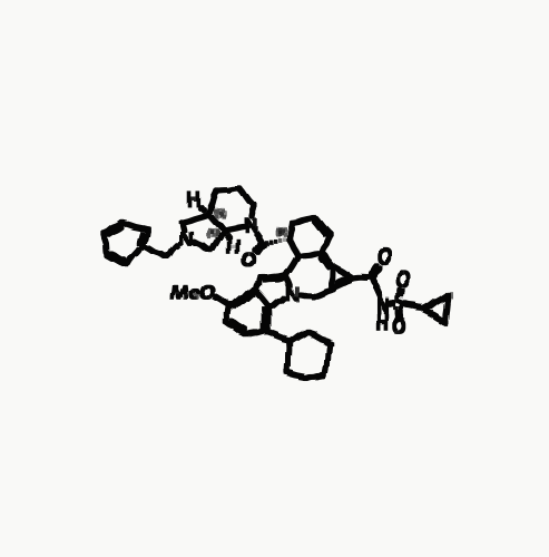 COc1ccc(C2CCCCC2)c2c1cc1n2CC2=C(C(=O)NS(=O)(=O)C3CC3)C2=C2C=CC[C@@H](C(=O)N3CCC[C@H]4CN(Cc5ccccc5)C[C@H]43)C21